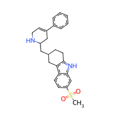 CS(=O)(=O)c1ccc2c3c([nH]c2c1)CCC(CC1CC(c2ccccc2)=CCN1)C3